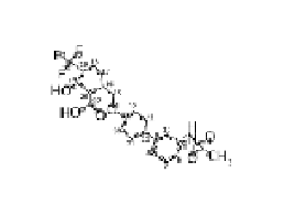 CS(=O)(=O)Nc1cccc(-c2ccc(OCc3ccc(C(F)(F)F)c(O)c3C(=O)O)cc2)c1